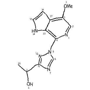 COc1cnc(-n2cnc(C(C)O)n2)c2[nH]ccc12